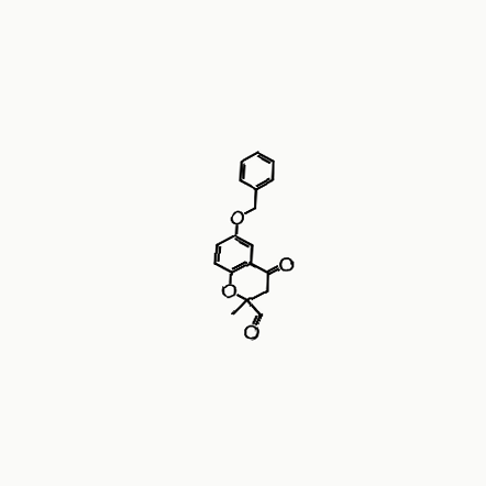 CC1(C=O)CC(=O)c2cc(OCc3ccccc3)ccc2O1